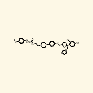 COc1ccc(SNC(=O)NCCN2CCN(c3ccc(OCC4COC(Cn5ccnc5)(c5ccc(Cl)cc5Cl)O4)cc3)CC2)cc1